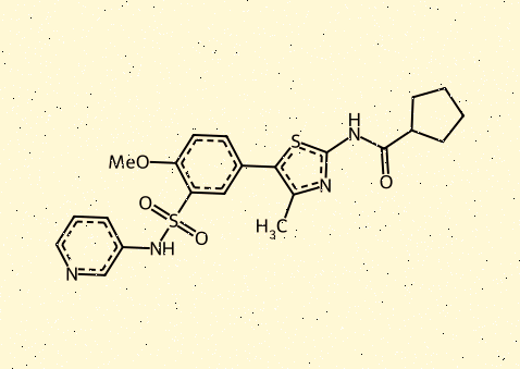 COc1ccc(-c2sc(NC(=O)C3CCCC3)nc2C)cc1S(=O)(=O)Nc1cccnc1